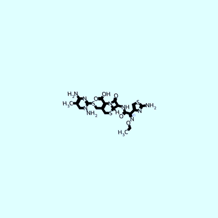 CCO/N=C(\C(=O)NC1C(=O)N2C(C(=O)O)=C(CSC3=NC(N)=C(C)CN3N)CS[C@@H]12)c1csc(N)n1